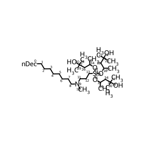 CCCCCCCCCCCCCCCCCCN(C)CCC[Si](OC(C)CC(C)(C)O)(OC(C)CC(C)(C)O)OC(C)CC(C)(C)O